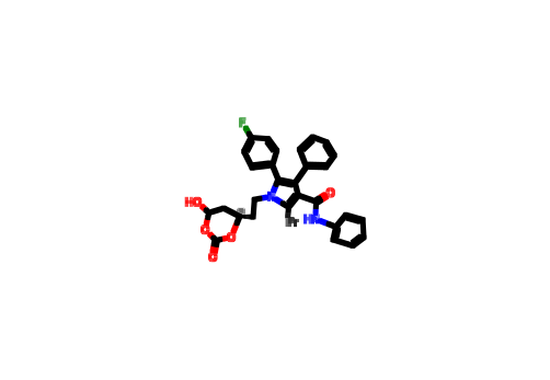 CC(C)c1c(C(=O)Nc2ccccc2)c(-c2ccccc2)c(-c2ccc(F)cc2)n1CC[C@@H]1CC(O)OC(=O)O1